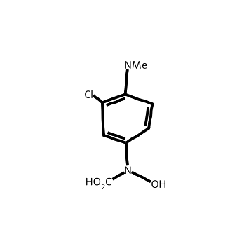 CNc1ccc(N(O)C(=O)O)cc1Cl